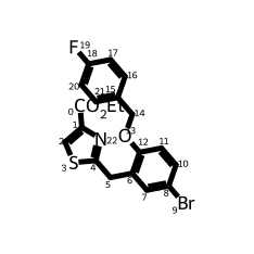 CCOC(=O)c1csc(Cc2cc(Br)ccc2OCc2ccc(F)cc2)n1